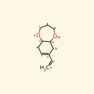 C=CC1=CCC2OCCCOC2C1